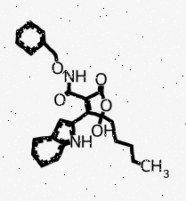 CCCCCC1(O)OC(=O)C(C(=O)NOCc2ccccc2)=C1c1cc2ccccc2[nH]1